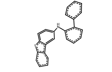 C1=C=c2sc3ccccc3c2=CC=1Nc1ccccc1-c1ccccc1